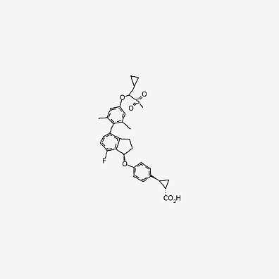 Cc1cc(OC(C2CC2)S(C)(=O)=O)cc(C)c1-c1ccc(F)c2c1CC[C@H]2Oc1ccc([C@H]2C[C@@H]2C(=O)O)cc1